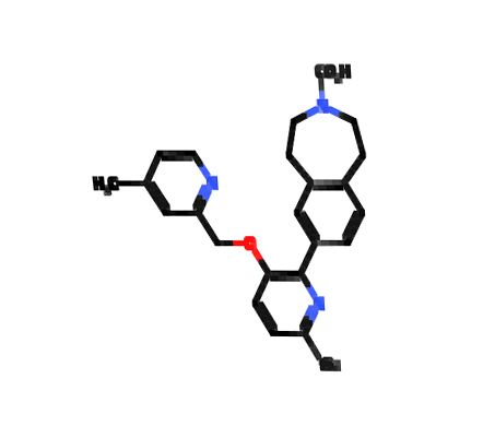 Cc1ccnc(COc2ccc(C(C)(C)C)nc2-c2ccc3c(c2)CCN(C(=O)O)CC3)c1